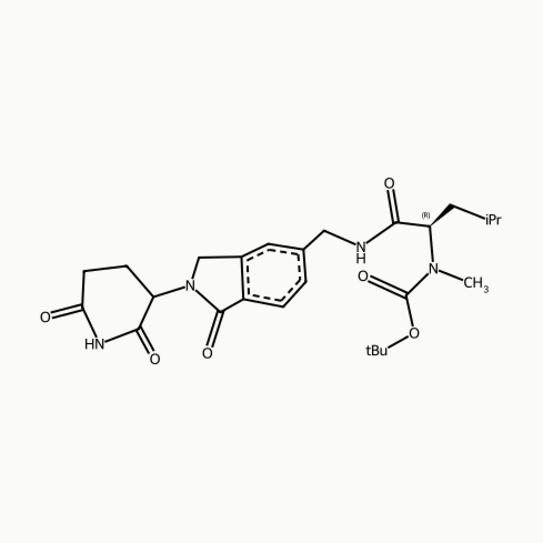 CC(C)C[C@H](C(=O)NCc1ccc2c(c1)CN(C1CCC(=O)NC1=O)C2=O)N(C)C(=O)OC(C)(C)C